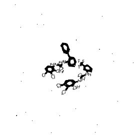 O=C(Nc1cccc(C(F)(F)F)c1)Nc1ccc(Cl)c(Cl)c1O.O=C(Nc1ccccc1-c1ccccc1)Nc1ccc(Cl)c(Cl)c1O